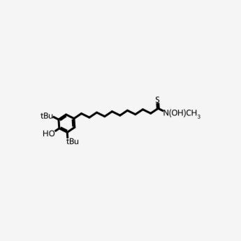 CN(O)C(=S)CCCCCCCCCCc1cc(C(C)(C)C)c(O)c(C(C)(C)C)c1